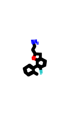 Cc1ccccc1-c1c(F)ccc2c1OC(CCN)C2